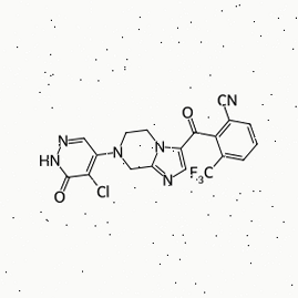 N#Cc1cccc(C(F)(F)F)c1C(=O)c1cnc2n1CCN(c1cn[nH]c(=O)c1Cl)C2